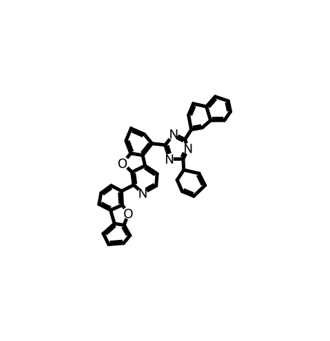 C1=CCC(c2nc(-c3ccc4ccccc4c3)nc(-c3cccc4oc5c(-c6cccc7c6oc6ccccc67)nccc5c34)n2)C=C1